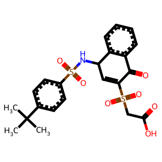 CC(C)(C)c1ccc(S(=O)(=O)NC2C=C(S(=O)(=O)CC(=O)O)C(=O)c3ccccc32)cc1